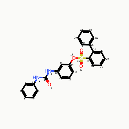 O=C(Nc1ccccc1)Nc1cccc(OS(=O)(=O)c2ccccc2-c2ccccc2)c1